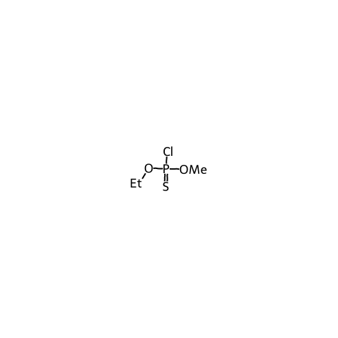 CCOP(=S)(Cl)OC